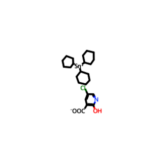 C1CC[CH]([Sn+]([CH]2CCCCC2)[CH]2CCCCC2)CC1.O=C([O-])c1cc(Cl)cnc1O